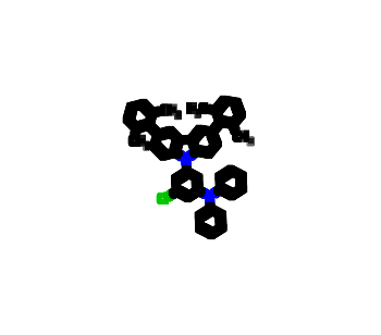 Cc1cccc(C)c1-c1ccc2c(c1)c1cc(-c3c(C)cccc3C)ccc1n2-c1cc(Cl)cc(N(c2ccccc2)c2ccccc2)c1